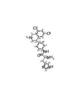 CN1Cc2c(Cl)cc(Cl)cc2C(c2ccc(NC(=O)[C@@H](N)Cc3c[nH]cn3)cc2)C1